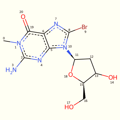 Cn1c(N)nc2c(nc(Br)n2[C@H]2CC(O)[C@@H](CO)O2)c1=O